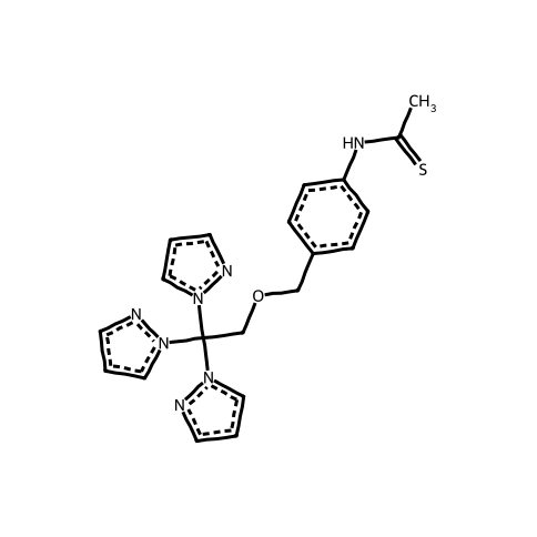 CC(=S)Nc1ccc(COCC(n2cccn2)(n2cccn2)n2cccn2)cc1